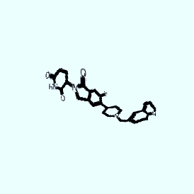 O=C1CCC(N2Cc3cc(C4CCN(Cc5ccc6ncccc6c5)CC4)c(F)cc3C2=O)C(=O)N1